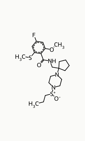 CCC[S+]([O-])N1CCN(C2(CNC(=O)c3c(OC)cc(F)cc3SC)CCCC2)CC1